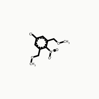 COCc1cc(Cl)cc(COC)c1[N+](=O)[O-]